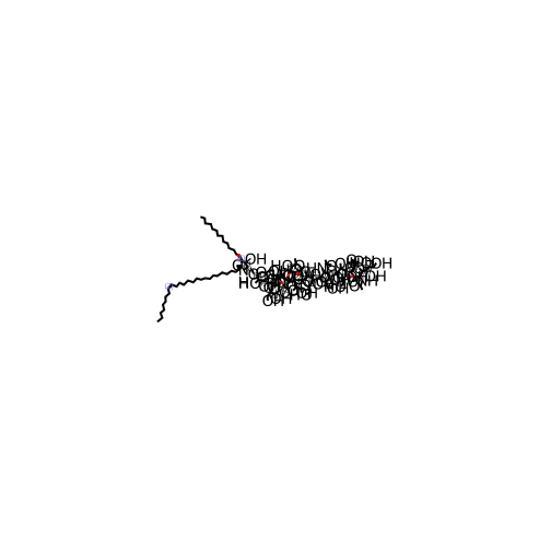 CCCCCCCC/C=C\CCCCCCCCCCCCCCCC(=O)N[C@@H](CO[C@@H]1OC(CO)[C@@H](O[C@@H]2OC(CO)[C@H](O)[C@H](O[C@@H]3OC(CO)[C@@H](O[C@@H]4OC(CO)[C@H](O)[C@H](O[C@H]5OC(CO)[C@H](O)[C@H](O[C@@H]6OC(CO)[C@H](O)[C@H](O[C@]7(C(=O)O)CC(O)[C@@H](NC(C)=O)C([C@H](O)[C@H](O)CO)O7)C6O)C5NC(C)=O)C4O[C@H]4OC(C)[C@@H](O)C(O)[C@@H]4O)[C@H](O)C3NC(C)=O)C2O)[C@H](O)C1O)[C@H](O)/C=C/CCCCCCCCCCCCC